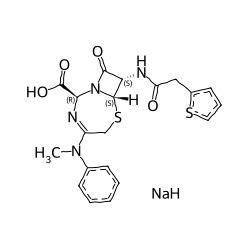 CN(C1=N[C@@H](C(=O)O)N2C(=O)[C@H](NC(=O)Cc3cccs3)[C@@H]2SC1)c1ccccc1.[NaH]